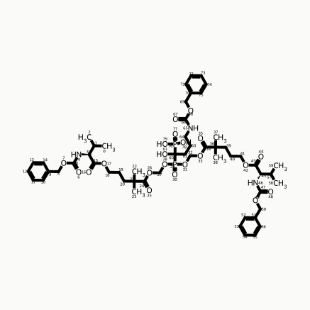 CC(C)[C@H](NC(=O)OCc1ccccc1)C(=O)OCCCC(C)(C)C(=O)OCOP(=O)(OCOC(=O)C(C)(C)CCCOC(=O)[C@@H](NC(=O)OCc1ccccc1)C(C)C)C(O)(CCCNC(=O)OCc1ccccc1)P(=O)(O)O